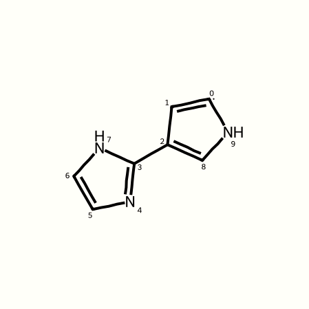 [c]1cc(-c2ncc[nH]2)c[nH]1